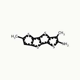 Cc1cc2sc3c4sc(N)c(C)c4sc3c2s1